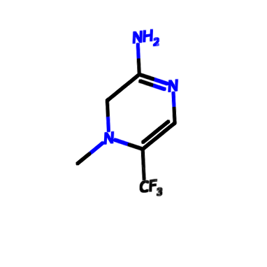 CN1CC(N)=NC=C1C(F)(F)F